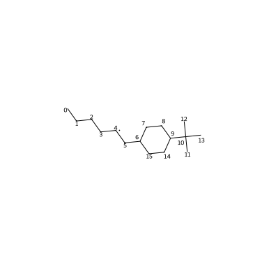 CCCC[CH]CC1CCC(C(C)(C)C)CC1